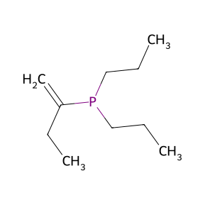 C=C(CC)P(CCC)CCC